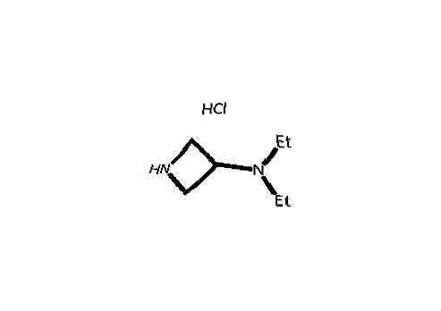 CCN(CC)C1CNC1.Cl